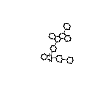 c1ccc(-c2ccc(-c3nc4ccccc4n3-c3ccc(-c4cc5c6ccccc6c(-c6ccccc6)cc5c5ccccc45)cc3)cc2)cc1